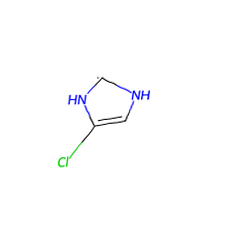 ClC1=CN[CH]N1